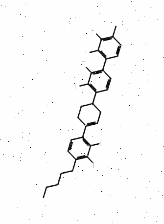 CCCCCc1ccc(C2=CCC(c3ccc(-c4ccc(C)c(F)c4F)c(F)c3F)CC2)c(F)c1F